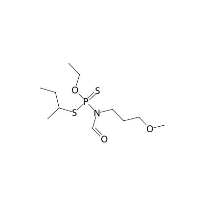 CCOP(=S)(SC(C)CC)N(C=O)CCCOC